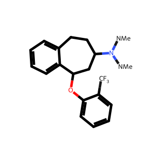 CNN(NC)C1CCc2ccccc2C(Oc2ccccc2C(F)(F)F)C1